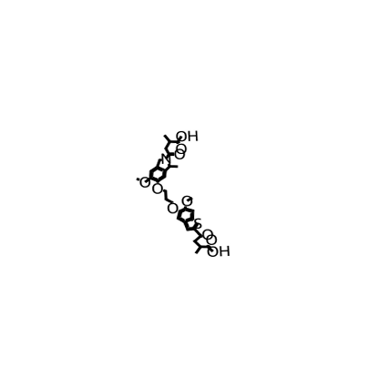 COc1cc2c(cc1OCCCOc1cc3cc(C(=O)CC(C)C(=O)O)sc3cc1OC)C(C)N(C(=O)CC(C)C(=O)O)C2